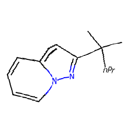 CCCC(C)(C)c1cc2ccccn2n1